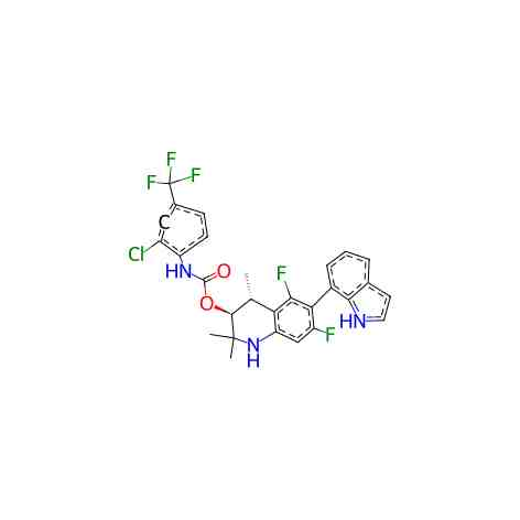 C[C@@H]1c2c(cc(F)c(-c3cccc4cc[nH]c34)c2F)NC(C)(C)[C@H]1OC(=O)Nc1ccc(C(F)(F)F)cc1Cl